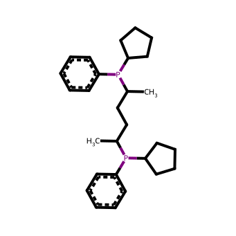 CC(CCC(C)P(c1ccccc1)C1CCCC1)P(c1ccccc1)C1CCCC1